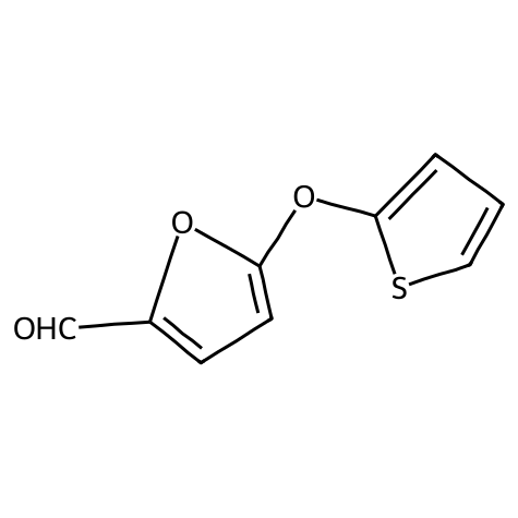 O=Cc1ccc(Oc2cccs2)o1